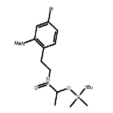 CNc1cc(Br)ccc1CC[PH](=O)C(C)O[Si](C)(C)C(C)(C)C